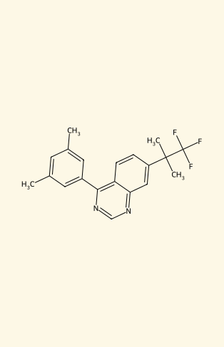 Cc1cc(C)cc(-c2ncnc3cc(C(C)(C)C(F)(F)F)ccc23)c1